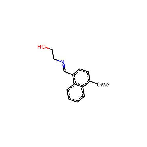 COc1ccc(/C=N/CCO)c2ccccc12